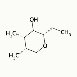 CC[C@@H]1OC[C@H](C)[C@H](C)C1O